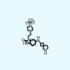 CS(=O)(=O)N1CCN(CCn2c(=O)[nH]c3ccc(NC4CC5(CCNC5)C4)cc32)CC1